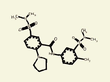 Cc1ccc(NC(=O)c2cc(S(=O)(=O)N(C)C)ccc2N2CCCC2)cc1S(=O)(=O)N(C)C